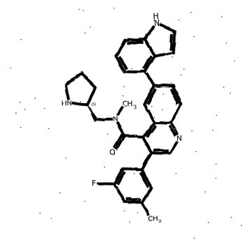 Cc1cc(F)cc(-c2cnc3ccc(-c4cccc5[nH]ccc45)cc3c2C(=O)N(C)C[C@@H]2CCCN2)c1